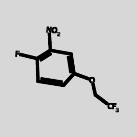 O=[N+]([O-])c1cc(OCC(F)(F)F)ccc1F